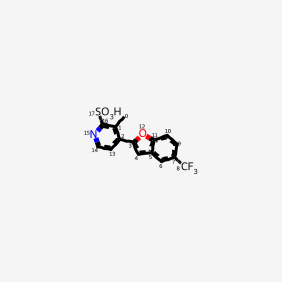 Cc1c(-c2cc3cc(C(F)(F)F)ccc3o2)ccnc1S(=O)(=O)O